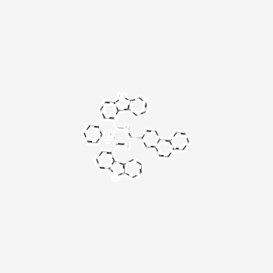 N/C(=N\C(=N/Cc1c(-c2ccccc2)ccc2oc3ccccc3c12)c1ccc2c(ccc3ccccc32)c1)c1cccc2oc3ccccc3c12